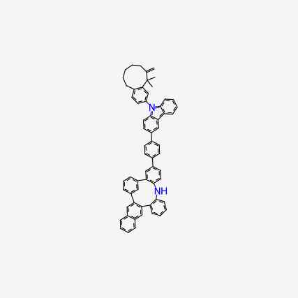 C=C1CCCCCc2ccc(-n3c4ccccc4c4cc(-c5ccc(-c6ccc7c(c6)-c6cccc(c6)-c6cc8ccccc8cc6-c6ccccc6N7)cc5)ccc43)cc2C1(C)C